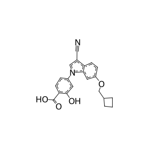 N#Cc1cn(-c2ccc(C(=O)O)c(O)c2)c2cc(OCC3CCC3)ccc12